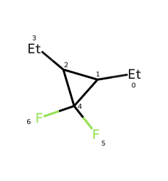 CCC1C(CC)C1(F)F